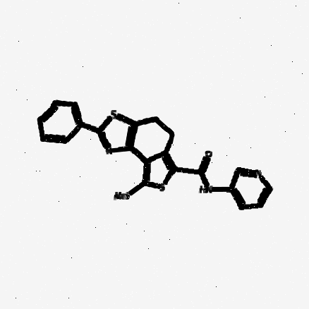 CSc1sc(C(=O)Nc2cccnc2)c2c1-c1nc(-c3ccccc3)sc1CC2